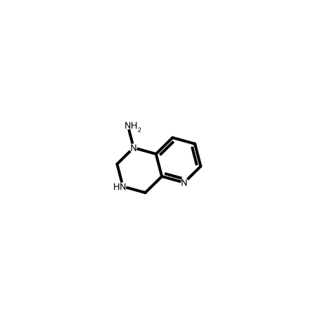 NN1CNCc2ncccc21